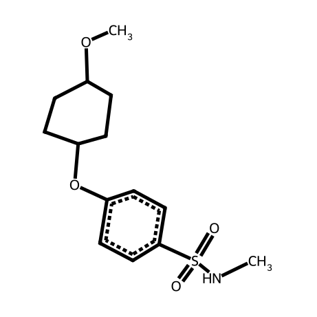 CNS(=O)(=O)c1ccc(OC2CCC(OC)CC2)cc1